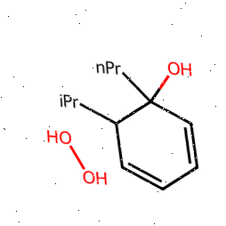 CCCC1(O)C=CC=CC1C(C)C.OO